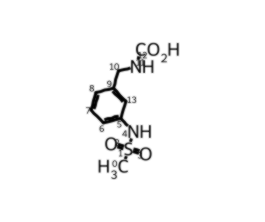 CS(=O)(=O)Nc1cccc(CNC(=O)O)c1